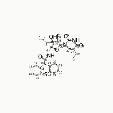 C=CC[C@@]1(O)[C@@H](CNC(=O)C2c3ccccc3Sc3ccccc32)O[C@@H](n2cc(CC)c(=O)[nH]c2=O)[C@@H]1F